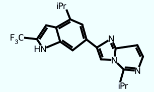 CC(C)c1cc(-c2cn3c(C(C)C)nccc3n2)cc2[nH]c(C(F)(F)F)cc12